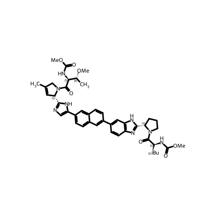 CC[C@H](C)[C@H](NC(=O)OC)C(=O)N1CCC[C@H]1c1nc2ccc(-c3ccc4cc(-c5cnc([C@@H]6C=C(C)CN6C(=O)[C@@H](NC(=O)OC)[C@@H](C)OC)[nH]5)ccc4c3)cc2[nH]1